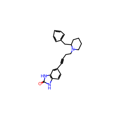 O=c1[nH]c2ccc(C#CCCN3CCCCC3Cc3ccccc3)cc2[nH]1